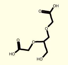 O=C(O)COCC(CO)OCC(=O)O